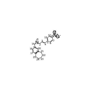 CN(C/C=C/c1ccc([N+](=O)[O-])cc1)Cc1ccc2c(c1)CCCCC2